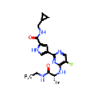 CC(C)[C@@H](Nc1nc(-c2c[nH]c(C(=O)NCC3CC3)c2)ncc1F)C(=O)NCC(F)(F)F